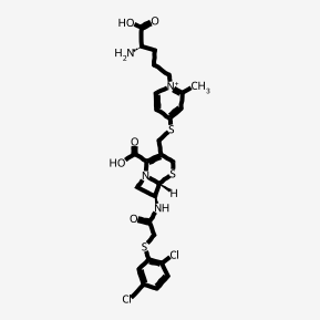 Cc1cc(SCC2=C(C(=O)O)N3C[C@H](NC(=O)CSc4cc(Cl)ccc4Cl)[C@H]3SC2)cc[n+]1CCC[C@H](N)C(=O)O